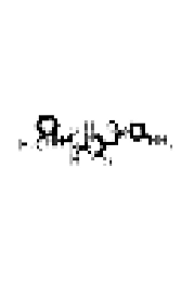 Cc1ccccc1NC(=O)Nc1nc(=O)c(CC(=O)N2CC[C@@H](N)C2)c[nH]1